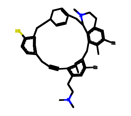 CCc1cc2c3c(c1C)Cc1c(CC)cc(CCN(C)C)c(c1C)C#CCc1ccc(S)c(c1)CC1C=CC(=CC1)CC3N(C)CC2